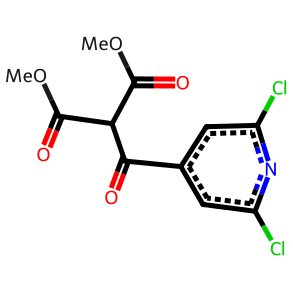 COC(=O)C(C(=O)OC)C(=O)c1cc(Cl)nc(Cl)c1